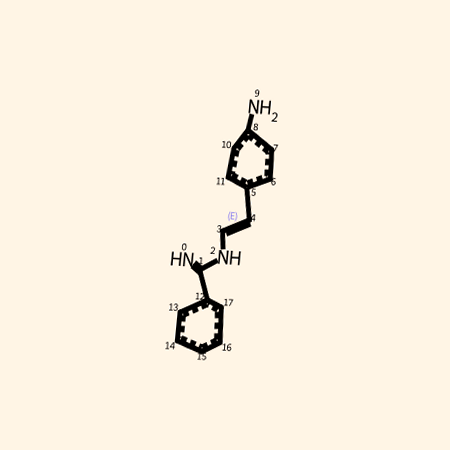 N=C(N/C=C/c1ccc(N)cc1)c1ccccc1